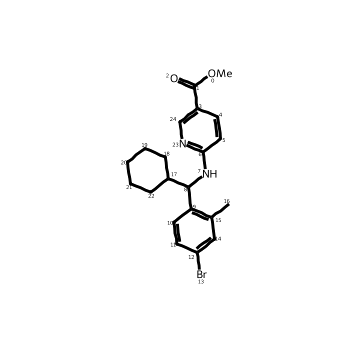 COC(=O)c1ccc(NC(c2ccc(Br)cc2C)C2CCCCC2)nc1